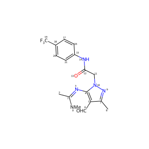 CN/C(C)=N\c1c(C=O)c(C)nn1CC(=O)Nc1ccc(C(F)(F)F)cc1